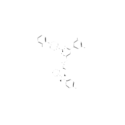 O=C(NCc1cc(-c2cc(F)cc(F)c2)nc(N2CCN(c3ccccc3F)CC2)n1)[C@@H]1CCCN1S(=O)(=O)c1ccc(F)cc1